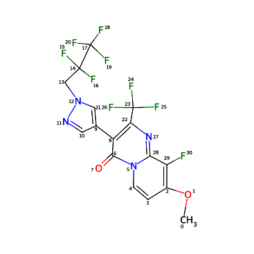 COc1ccn2c(=O)c(-c3cnn(CC(F)(F)C(F)(F)F)c3)c(C(F)(F)F)nc2c1F